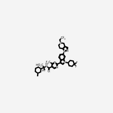 CC1CCCC(C(NC(=O)c2cnc(-c3cn(C4CCC(F)(F)CC4)c4cc(-n5ncc6c5CCN(CC(F)(F)F)C6)ccc34)nc2C(F)(F)F)(C(=O)O)C(C)C)C1